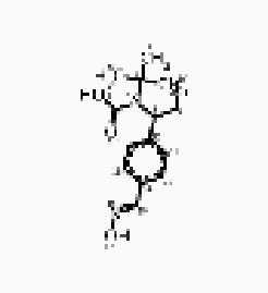 CC(C)(C)N(C(=O)O)C(CF)c1ccc(C=NO)cc1